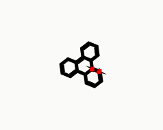 C1=CCC2=C3C=CC=CC3C34C=CC=CC3=CC=CC4C2=C1